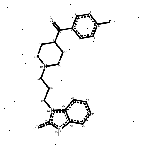 O=C(c1ccc(F)cc1)C1CCN(CCCn2c(=O)[nH]c3ccccc32)CC1